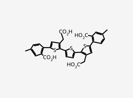 Cc1ccc(-c2cc(CC(=O)O)c(-c3ccc(-c4sc(-c5ccc(C)cc5C(=O)O)cc4CC(=O)O)s3)s2)c(C(=O)O)c1